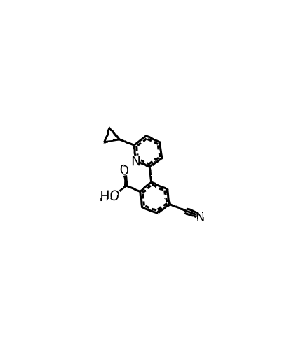 N#Cc1ccc(C(=O)O)c(-c2cccc(C3CC3)n2)c1